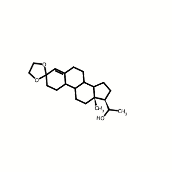 CC(O)[C@@H]1CCC2C3CCC4=CC5(CCC4C3CC[C@]21C)OCCO5